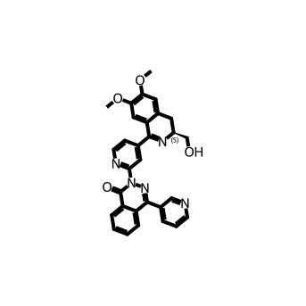 COc1cc2c(cc1OC)C(c1ccnc(-n3nc(-c4cccnc4)c4ccccc4c3=O)c1)=N[C@H](CO)C2